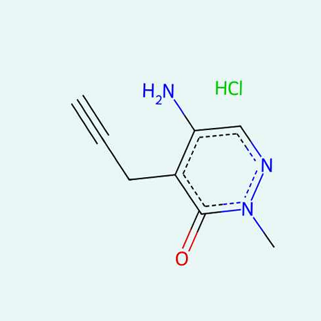 C#CCc1c(N)cnn(C)c1=O.Cl